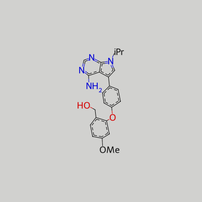 COc1ccc(CO)c(Oc2ccc(-c3cn(C(C)C)c4ncnc(N)c34)cc2)c1